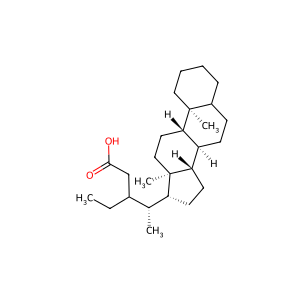 CCC(CC(=O)O)[C@@H](C)[C@H]1CC[C@H]2[C@@H]3CCC4CCCC[C@]4(C)[C@H]3CC[C@]12C